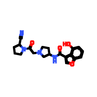 N#CC1CCCN1C(=O)CN1CCC(NC(=O)c2coc3cccc(O)c23)C1